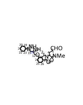 CNC(=O)C(CCC=O)N1Cc2c(OC/C(N)=C/N(N)c3ccccc3)cccc2C1=O